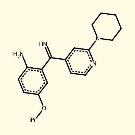 CC(C)Oc1ccc(N)c(C(=N)c2ccnc(N3CCCCC3)c2)c1